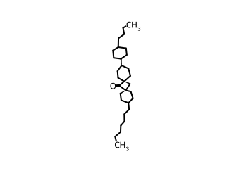 CCCCCCCC1CC[C@]2(CC1)C[C@@]1(CC[C@H](C3CCC(CCCC)CC3)CC1)C2=O